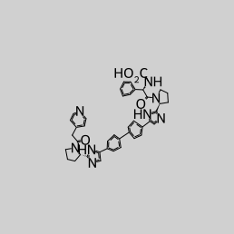 O=C(O)N[C@@H](C(=O)N1CCC[C@H]1c1ncc(-c2ccc(-c3ccc(-c4cnc([C@@H]5CCCN5C(=O)Cc5ccncc5)[nH]4)cc3)cc2)[nH]1)c1ccccc1